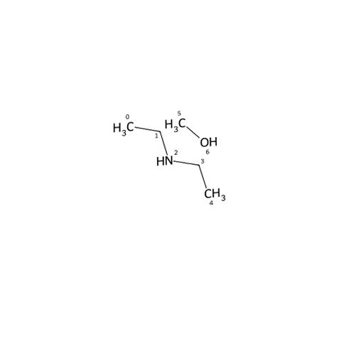 CCNCC.CO